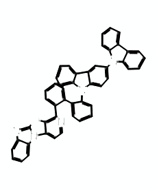 c1ccc(-c2nccc3c2oc2nc4ccccc4n23)c(-c2ccccc2-n2c3ccccc3c3cc(-n4c5ccccc5c5ccccc54)ccc32)c1